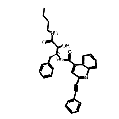 CCCCNC(=O)C(O)[C@H](Cc1ccccc1)NC(=O)c1cc(C#Cc2ccccc2)nc2ccccc12